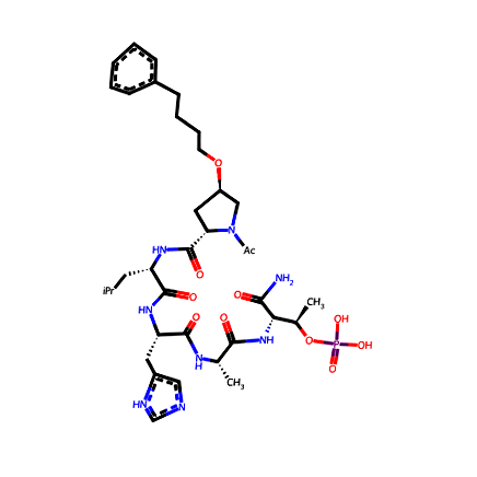 CC(=O)N1C[C@H](OCCCCc2ccccc2)C[C@H]1C(=O)N[C@@H](CC(C)C)C(=O)N[C@@H](Cc1cnc[nH]1)C(=O)N[C@@H](C)C(=O)N[C@H](C(N)=O)[C@@H](C)OP(=O)(O)O